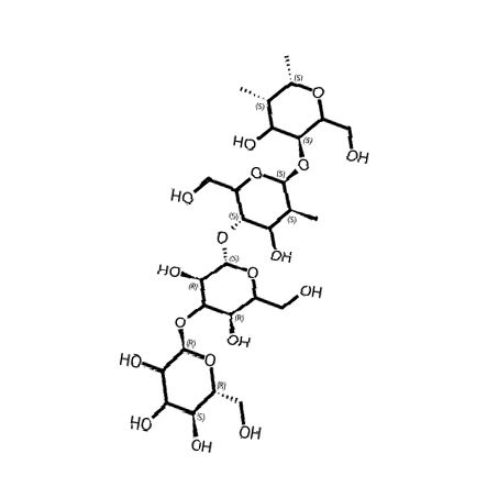 C[C@@H]1OC(CO)[C@@H](O[C@@H]2OC(CO)[C@@H](O[C@@H]3OC(CO)[C@@H](O)C(O[C@H]4O[C@H](CO)[C@@H](O)C(O)C4O)[C@H]3O)C(O)[C@@H]2C)C(O)[C@@H]1C